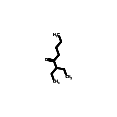 CCCCC(=O)[C](CC)CC